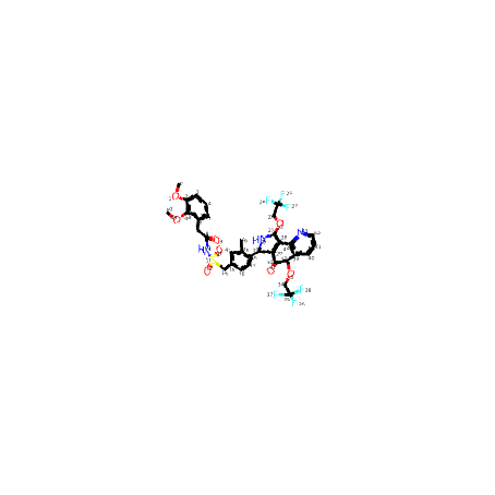 COc1cccc(CC(=O)NS(=O)(=O)Cc2ccc(C3NC(OCC(F)(F)F)C4=C3C(=O)C(OCC(F)(F)F)c3cccnc34)c(C)c2)c1OC